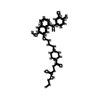 CCCOC(=O)CCC(=O)N1CCN(CCCOc2cc3c(Nc4ccc(F)c(Cl)c4)ncnc3cc2OC)CC1